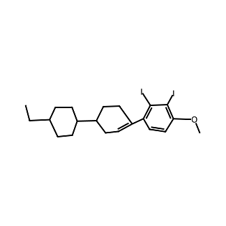 CCC1CCC(C2CC=C(c3ccc(OC)c(I)c3I)CC2)CC1